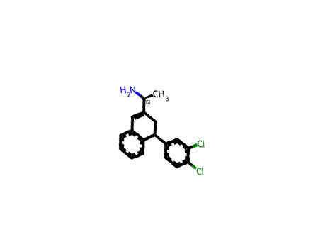 C[C@H](N)C1=Cc2ccccc2C(c2ccc(Cl)c(Cl)c2)C1